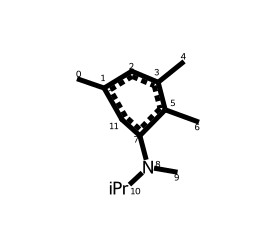 Cc1cc(C)c(C)c(N(C)C(C)C)c1